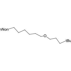 CCCCCCCCCCCCCCCOCCCC(C)(C)C